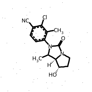 Cc1c(N2C(=O)N3CC[C@H](O)[C@H]3C2C)ccc(C#N)c1Cl